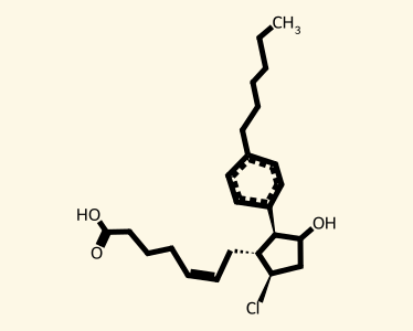 CCCCCCc1ccc([C@H]2C(O)C[C@@H](Cl)[C@@H]2C/C=C\CCCC(=O)O)cc1